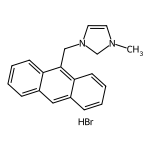 Br.CN1C=CN(Cc2c3ccccc3cc3ccccc23)C1